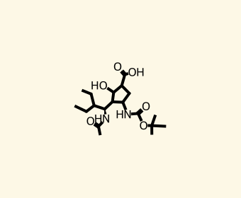 CCC(CC)[C@H](NC(C)=O)C1C(NC(=O)OC(C)(C)C)CC(C(=O)O)C1O